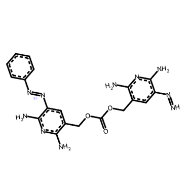 N=Nc1cc(COC(=O)OCc2cc(/N=N/c3ccccc3)c(N)nc2N)c(N)nc1N